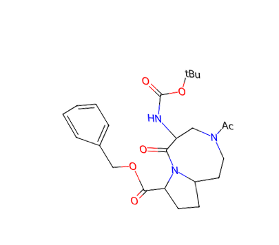 CC(=O)N1CCC2CCC(C(=O)OCc3ccccc3)N2C(=O)C(NC(=O)OC(C)(C)C)C1